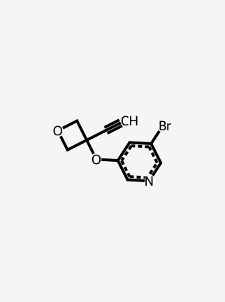 C#CC1(Oc2cncc(Br)c2)COC1